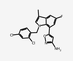 Cc1cn(Cc2ccc(Cl)cc2Cl)c2c(-c3cc(N)no3)cc(F)cc12